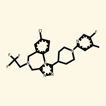 Cc1cc(N2CCC(c3nnc4n3-c3ccc(Cl)cc3CN(CC(F)(F)F)C4)CC2)ncc1F